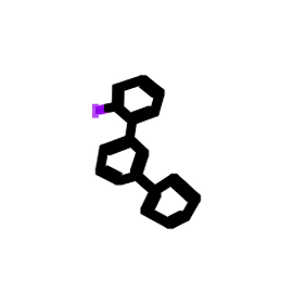 Ic1ccccc1-c1cccc(-c2ccccc2)c1